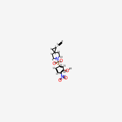 C#C[C@H]1CC12CCN(S(=O)(=O)c1ccc([N+](=O)[O-])c(OC)c1)CC2